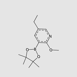 CCc1cnc(OC)c(B2OC(C)(C)C(C)(C)O2)c1